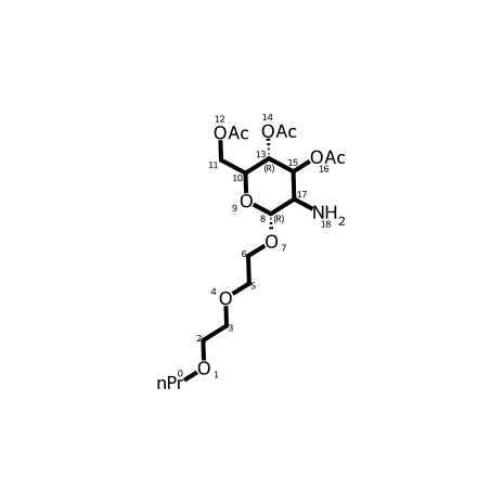 CCCOCCOCCO[C@@H]1OC(COC(C)=O)[C@H](OC(C)=O)C(OC(C)=O)C1N